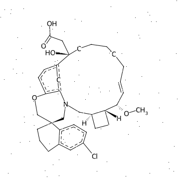 CO[C@H]1/C=C/CCCCC[C@@](O)(CC(=O)O)c2ccc3c(c2)N(C[C@@H]2CC[C@H]21)C[C@@]1(CCCc2cc(Cl)ccc21)CO3